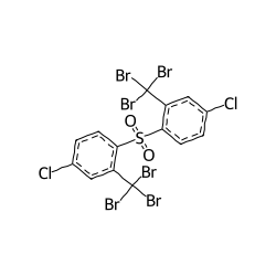 O=S(=O)(c1ccc(Cl)cc1C(Br)(Br)Br)c1ccc(Cl)cc1C(Br)(Br)Br